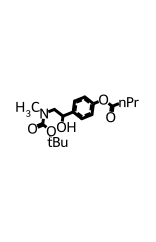 CCCC(=O)Oc1ccc(C(O)CN(C)C(=O)OC(C)(C)C)cc1